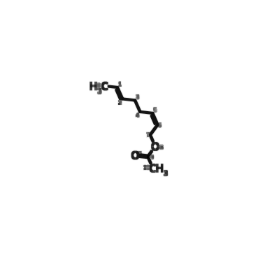 C/C=C/CC/C=C\COC(C)=O